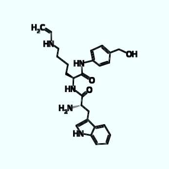 C=CNCCCC[C@H](NC(=O)[C@@H](N)Cc1c[nH]c2ccccc12)C(=O)Nc1ccc(CO)cc1